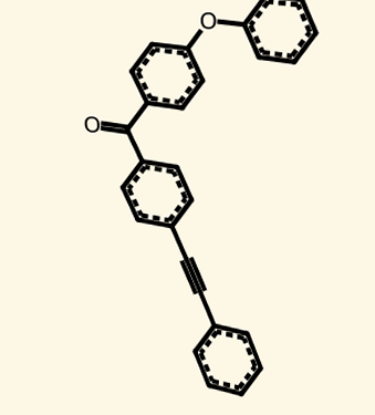 O=C(c1ccc(C#Cc2ccccc2)cc1)c1ccc(Oc2ccccc2)cc1